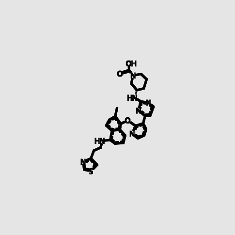 Cc1ccc2c(NCCc3cscn3)cccc2c1Oc1ncccc1-c1ccnc(N[C@H]2CCCN(C(=O)O)C2)n1